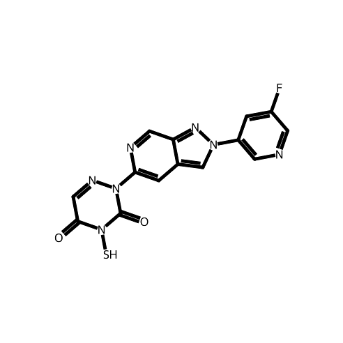 O=c1cnn(-c2cc3cn(-c4cncc(F)c4)nc3cn2)c(=O)n1S